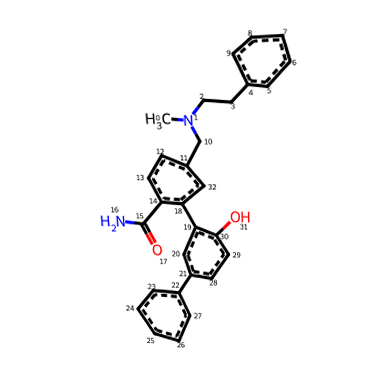 CN(CCc1ccccc1)Cc1ccc(C(N)=O)c(-c2cc(-c3ccccc3)ccc2O)c1